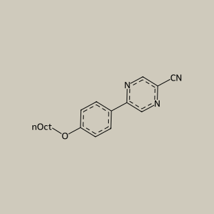 CCCCCCCCOc1ccc(-c2cnc(C#N)cn2)cc1